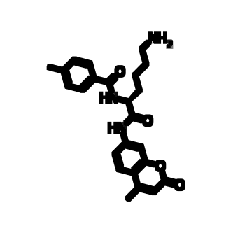 Cc1ccc(C(=O)N[C@@H](CCCCN)C(=O)Nc2ccc3c(C)cc(=O)oc3c2)cc1